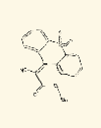 CC(C)(C)OC(=O)C(C#N)=C1c2ccccc2S(=O)(=O)c2ccccc21